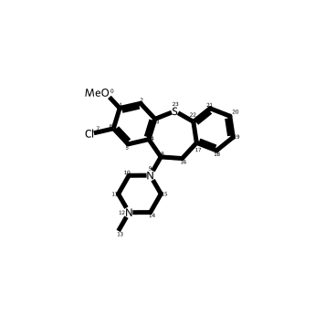 COc1cc2c(cc1Cl)C(N1CCN(C)CC1)Cc1ccccc1S2